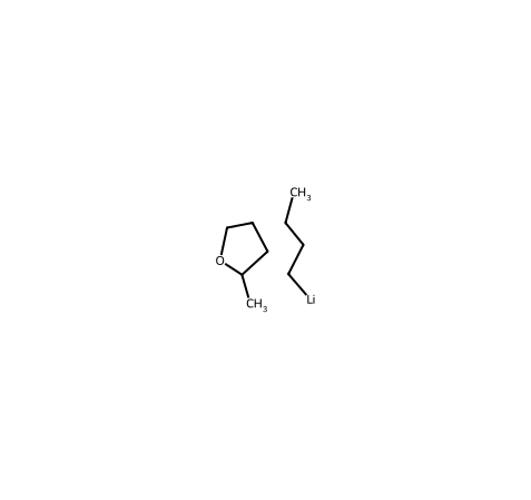 CC1CCCO1.[Li][CH2]CCC